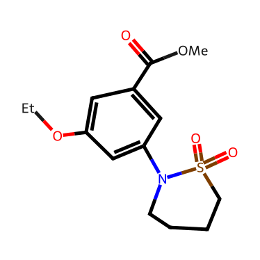 CCOc1cc(C(=O)OC)cc(N2CCCCS2(=O)=O)c1